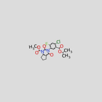 COC(=O)n1c2c(c(=O)n(-c3cc(C(=O)OC(C)C)c(Cl)cc3F)c1=O)CCC2